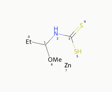 CCC(NC(=S)S)OC.[Zn]